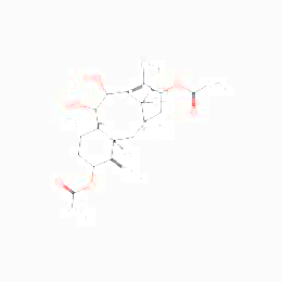 C=C1C(OC(C)=O)CC[C@@]2(C)C(O)C(O)C3=C(C)C(OC(C)=O)C[C@@H](C[C@H]12)C3(C)C